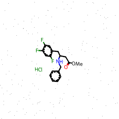 COC(=O)CC(Cc1cc(F)c(F)cc1F)NCc1ccccc1.Cl